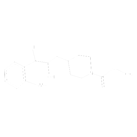 CSc1ccccc1C(C)C(O)CC1CCN(C(=O)OC(C)(C)C)CC1